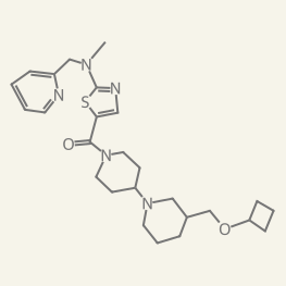 CN(Cc1ccccn1)c1ncc(C(=O)N2CCC(N3CCCC(COC4CCC4)C3)CC2)s1